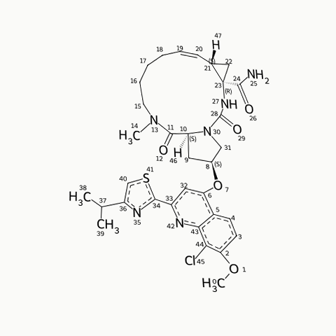 COc1ccc2c(O[C@H]3C[C@H]4C(=O)N(C)CCCCC=C[C@@H]5C[C@@]5(C(N)=O)NC(=O)N4C3)cc(-c3nc(C(C)C)cs3)nc2c1Cl